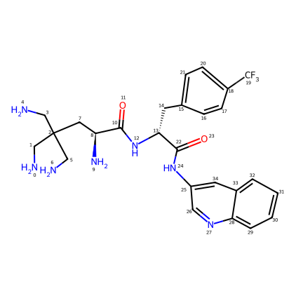 NCC(CN)(CN)C[C@H](N)C(=O)N[C@H](Cc1ccc(C(F)(F)F)cc1)C(=O)Nc1cnc2ccccc2c1